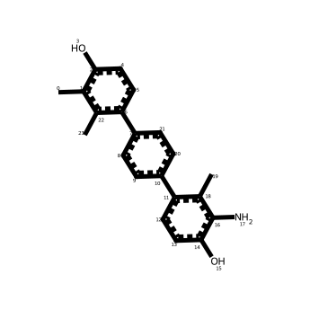 Cc1c(O)ccc(-c2ccc(-c3ccc(O)c(N)c3C)cc2)c1C